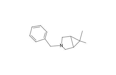 CC1(C)C2CN(Cc3ccccc3)CC21